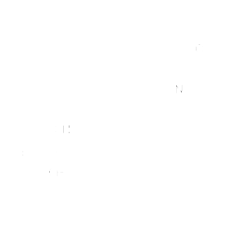 C[Si](C)(Cl)CCCCCCN=C=O